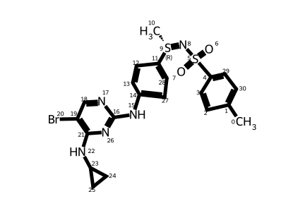 Cc1ccc(S(=O)(=O)N=[S@@](C)c2ccc(Nc3ncc(Br)c(NC4CC4)n3)cc2)cc1